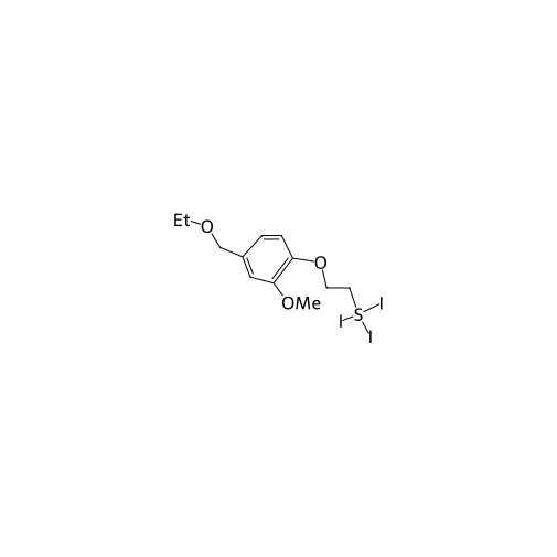 CCOCc1ccc(OCCS(I)(I)I)c(OC)c1